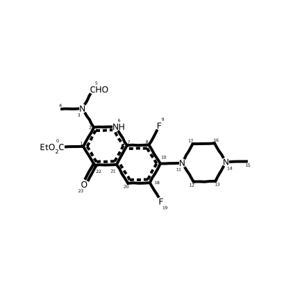 CCOC(=O)c1c(N(C)C=O)[nH]c2c(F)c(N3CCN(C)CC3)c(F)cc2c1=O